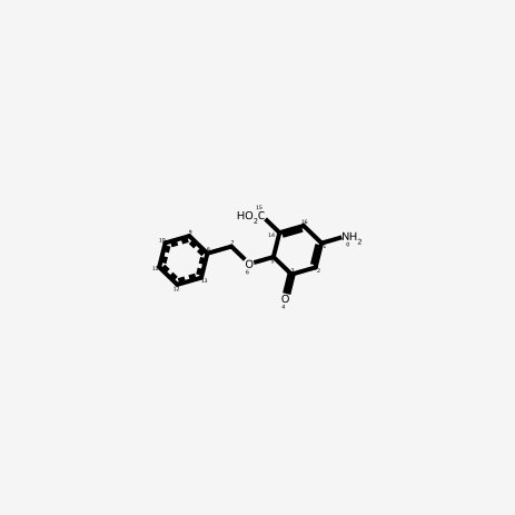 NC1=CC(=O)C(OCc2ccccc2)C(C(=O)O)=C1